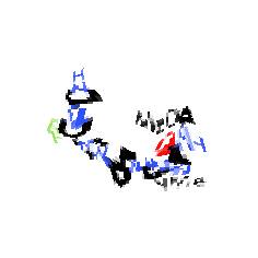 CNc1cc(N2CCc3c(N4CCN(C[C@@H]5CCN(C6CCNCC6)CC5(F)F)CC4)cccc32)nn2c(C(=O)N[C@@H]3CC[C@H]3OC)cnc12